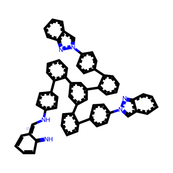 N=C1C=CC=C/C1=C/Nc1ccc(-c2ccccc2-c2cc(-c3ccccc3-c3ccc(-n4cc5ccccc5n4)cc3)cc(-c3ccccc3-c3ccc(-n4cc5ccccc5n4)cc3)c2)cc1